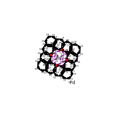 [Pd].c1ccc([PH](c2ccccc2)(c2ccccc2)[Pd]([PH](c2ccccc2)(c2ccccc2)c2ccccc2)([PH](c2ccccc2)(c2ccccc2)c2ccccc2)[PH](c2ccccc2)(c2ccccc2)c2ccccc2)cc1